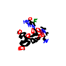 COc1ccc(C(OC[C@H]2O[C@@H](n3cc(F)c4c(=O)[nH]cnc43)[C@H](OP(OCCC#N)N(C(C)C)C(C)C)[C@@H]2O[Si](C)(C)C(C)(C)C)(c2ccccc2)c2ccc(OC)cc2)cc1